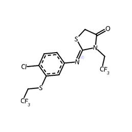 O=C1CS/C(=N\c2ccc(Cl)c(SCC(F)(F)F)c2)N1CC(F)(F)F